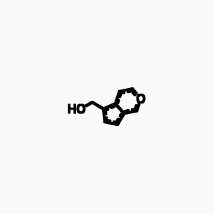 OCc1ccc2coccc1-2